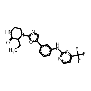 CCC1C(=O)NCCN1c1ncc(-c2cccc(Nc3nccc(C(F)(F)F)n3)c2)o1